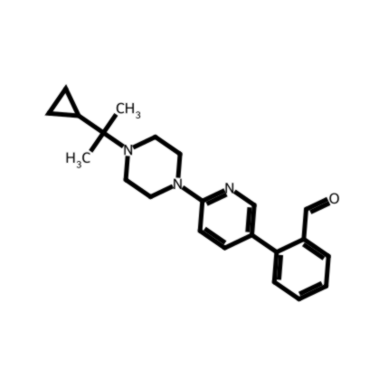 CC(C)(C1CC1)N1CCN(c2ccc(-c3ccccc3C=O)cn2)CC1